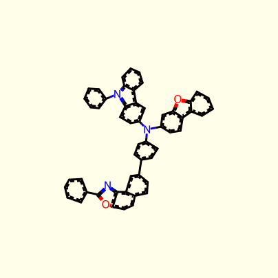 c1ccc(-c2nc3c(ccc4ccc(-c5ccc(N(c6ccc7c(c6)oc6ccccc67)c6ccc7c(c6)c6ccccc6n7-c6ccccc6)cc5)cc43)o2)cc1